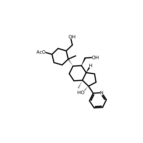 CC(=O)OC1CCC(C)([C@H]2CC[C@@]3(C)[C@@H](CC[C@@]3(O)c3ccccn3)[C@@H]2CO)C(CO)C1